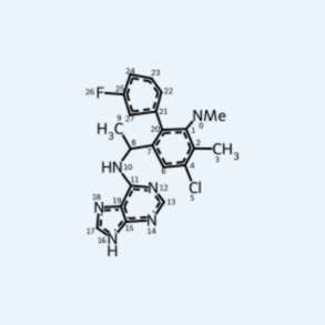 CNc1c(C)c(Cl)cc(C(C)Nc2ncnc3[nH]cnc23)c1-c1cccc(F)c1